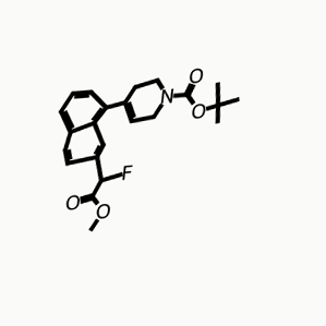 COC(=O)C(F)c1ccc2cccc(C3=CCN(C(=O)OC(C)(C)C)CC3)c2c1